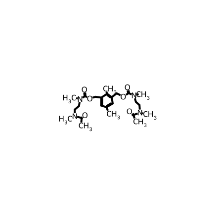 CC(=O)N(C)CCN(C)C(=O)OCc1cc(C)cc(COC(=O)N(C)CCN(C)C(C)=O)c1C